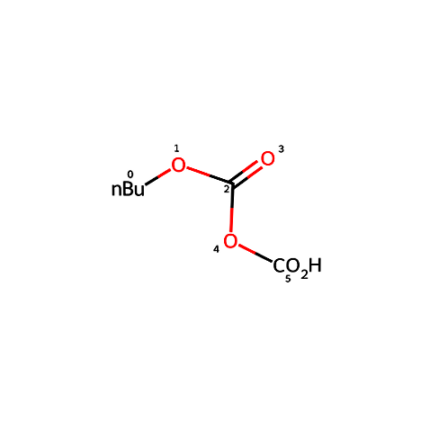 CCCCOC(=O)OC(=O)O